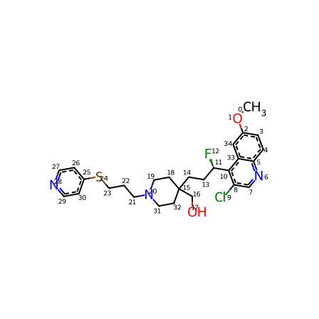 COc1ccc2ncc(Cl)c([C@H](F)CCC3(CO)CCN(CCCSc4ccncc4)CC3)c2c1